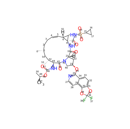 C[C@@H]1CC/C=C\[C@@H]2C[C@@]2(C(=O)NS(=O)(=O)C2CC2)NC(=O)[C@@H]2C[C@@H](Oc3nccc4c5c(ccc34)OC(F)(F)O5)CN2C(=O)[C@@H](NC(=O)O[C@H](C)C(F)(F)F)[C@H](C)C1